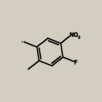 [CH2]c1cc([N+](=O)[O-])c(F)cc1C